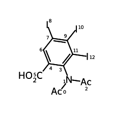 CC(=O)N(C(C)=O)c1c(C(=O)O)cc(I)c(I)c1I